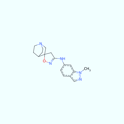 Cn1ncc2ccc(NC3=NOC4(C3)CN3CCC4CC3)cc21